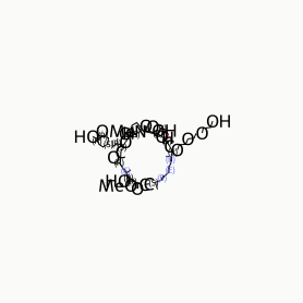 CO[C@@H]1C[C@H](C[C@@H](C)[C@@H]2CC(=O)[C@H](C)/C=C(\C)[C@@H](O)[C@@H](OC)C(=O)CC[C@H](C)/C=C/C=C/C=C(\C)[C@@H](OCCOCCOCCO)C[C@@H]3CC[C@@H](C)[C@@](O)(O3)C(=O)C(=O)N3CCCC[C@H]3C(=O)O2)CC[C@H]1O